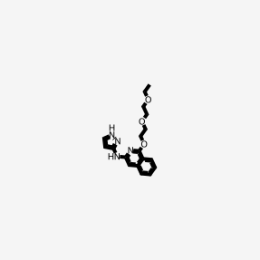 CCOCCOCCOc1nc(Nc2cc[nH]n2)cc2ccccc12